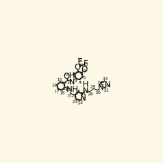 O=C(Nc1ccc2c(c1)OC(F)(F)O2)c1ccccc1NCc1ccnc(NCCCn2ccnc2)c1